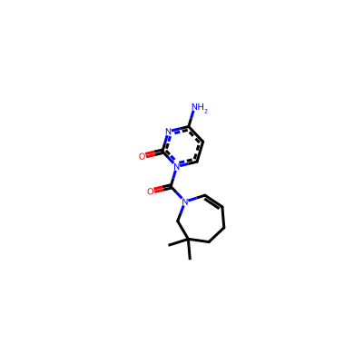 CC1(C)CCC=CN(C(=O)n2ccc(N)nc2=O)C1